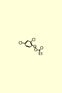 CCC(=O)OOc1ccc(Cl)cc1Cl